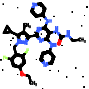 CCNC(=O)Nc1c(Nc2ccncc2)nc(-c2nn(Cc3c(F)cc(OCC)cc3F)c(C3CC3)c2C)nc1Nc1ccncc1